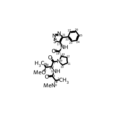 CN[C@@H](C)C(=O)N[C@H](C(=O)N1CCC[C@H]1C(=O)Nc1snnc1-c1ccccc1)[C@H](C)OC